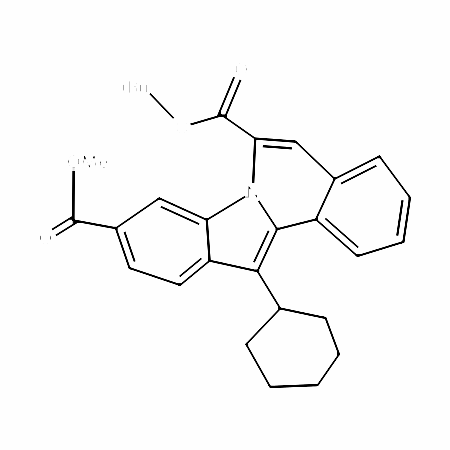 COC(=O)c1ccc2c(C3CCCCC3)c3c4ccccc4cc(C(=O)OC(C)(C)C)n3c2c1